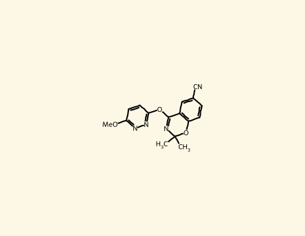 COc1ccc(OC2=NC(C)(C)Oc3ccc(C#N)cc32)nn1